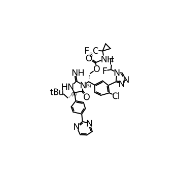 CC(C)(C)C[C@]1(c2ccc(-c3ncccn3)cc2)NC(=N)N([C@H](COC(=O)NC2(C(F)(F)F)CC2)c2ccc(Cl)c(-c3nncn3C(F)F)c2)C1=O